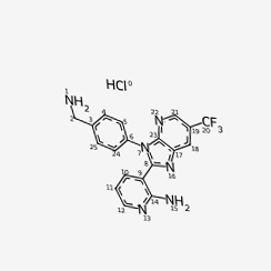 Cl.NCc1ccc(-n2c(-c3cccnc3N)nc3cc(C(F)(F)F)cnc32)cc1